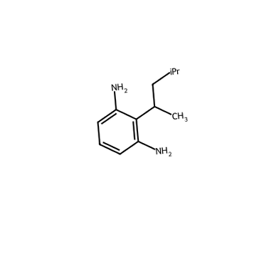 CC(C)CC(C)c1c(N)cccc1N